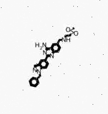 CS(=O)(=O)CCNCc1ccc2nc(-c3ccc4c(cnn4Cc4ccccc4)c3)nc(N)c2c1